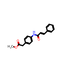 COC(=O)Cc1ccc(NC(=O)/C=C/c2ccccc2)cc1